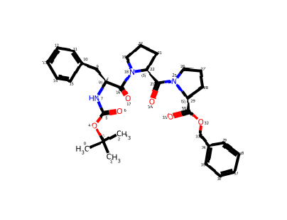 CC(C)(C)OC(=O)N[C@@H](Cc1ccccc1)C(=O)N1CCC[C@H]1C(=O)N1CCC[C@H]1C(=O)OCc1ccccc1